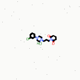 Cl.O=C1CCCC(=O)N1CCCN1CCN(c2cccc(Cl)c2)CC1